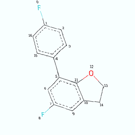 Fc1ccc(-c2cc(F)cc3c2O[CH]C3)cc1